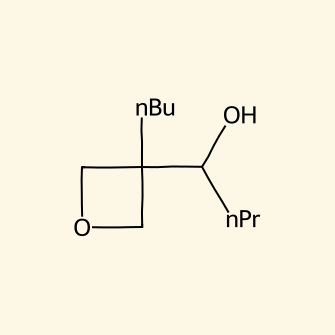 CCCCC1(C(O)CCC)COC1